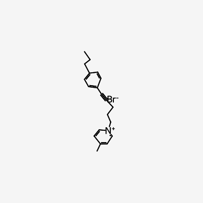 CCCc1ccc(C#CCCC[n+]2ccc(C)cc2)cc1.[Br-]